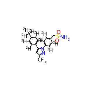 [2H]c1c([2H])c(-n2nc(C(F)(F)F)cc2-c2c([2H])c([2H])c(C([2H])([2H])[2H])c([2H])c2[2H])c([2H])c([2H])c1CS(N)(=O)=O